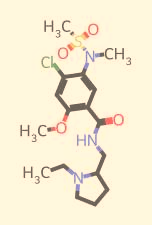 CCN1CCCC1CNC(=O)c1cc(N(C)S(C)(=O)=O)c(Cl)cc1OC